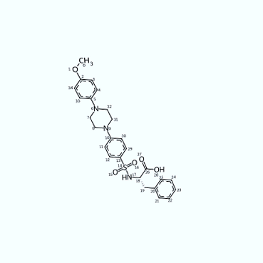 COc1ccc(N2CCN(c3ccc(S(=O)(=O)N[C@@H](Cc4ccccc4)C(=O)O)cc3)CC2)cc1